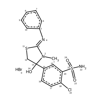 Br.CN1C(=Nc2ccccc2)SCC1(O)c1ccc(Cl)c(S(N)(=O)=O)c1